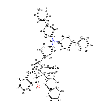 C1=Cc2c(ccc3c2Oc2c(ccc4ccccc24)C32c3ccccc3-c3c(-c4ccc(N(C5=CC=C(c6ccccc6)CC5)c5ccc(-c6ccccc6)cc5)cc4)cccc32)CC1